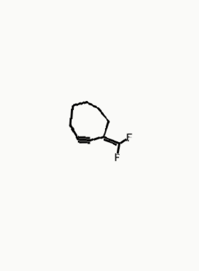 FC(F)=C1C#CCCCCC1